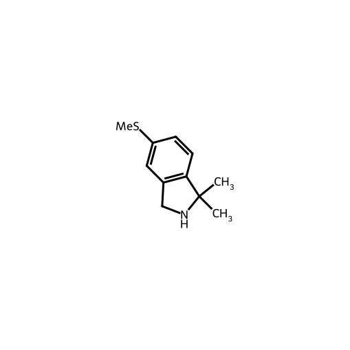 CSc1ccc2c(c1)CNC2(C)C